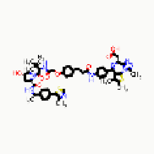 Cc1ncsc1-c1ccc([C@H](C)NC(=O)[C@@H]2C[C@@H](O)CN2C(=O)[C@@H](NC(=O)COc2ccc(CCC(=O)Nc3ccc(C4=N[C@@H](CC(=O)O)c5nnc(C)n5-c5sc(C)c(C)c54)cc3)cc2)C(C)(C)C)cc1